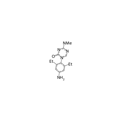 CCc1cc(N)cc(CC)c1-n1cnc(NC)nc1=O